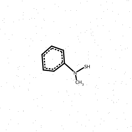 CN(S)c1ccccc1